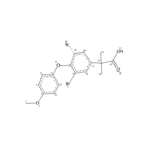 COc1ccc(Oc2c(Br)cc(C(C)(C)C(=O)O)cc2Br)cc1